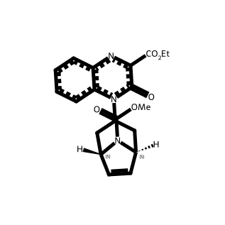 CCOC(=O)c1nc2ccccc2n(C2C[C@H]3C=C[C@H](C2)N3C(=O)OC)c1=O